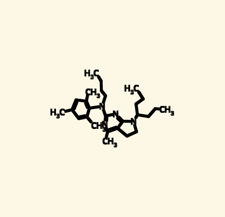 CCCCN(c1nc(C)c2c(n1)N(C(CCC)CCC)CC2)c1c(C)cc(C)cc1C